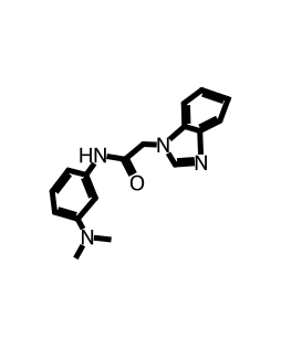 CN(C)c1cccc(NC(=O)Cn2cnc3ccccc32)c1